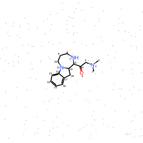 CN(C)CC(=O)C1NCCCN2c3ccccc3CC12